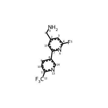 NCc1cc(F)nc(-c2ccc(C(F)(F)F)nc2)c1